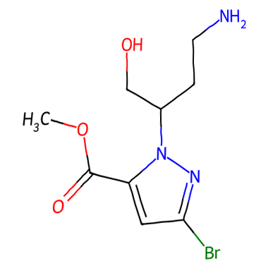 COC(=O)c1cc(Br)nn1C(CO)CCN